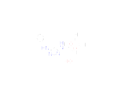 CC1(C)O[C@@H]2[C@H](O1)C(CO)C[C@H]2Nc1cc(N[C@H]2CCc3ccccc32)ncn1